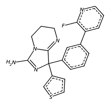 NC1=NC(c2ccsc2)(c2cccc(-c3cccnc3F)c2)C2=NCCCN12